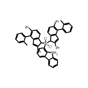 Cc1ccccc1-c1c(C(C)C)ccc2c1C=C(C(C)C)[CH]2[Zr]([Cl])([Cl])([c]1cccc2c1[SiH2]c1ccccc1-2)[CH]1C(C(C)C)=Cc2c1ccc(C(C)C)c2-c1ccccc1C